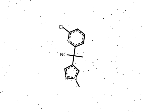 Cn1cc(C(C)(C#N)c2cccc(Cl)n2)cn1